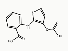 O=C(O)Oc1ccsc1Nc1ccccc1C(=O)O